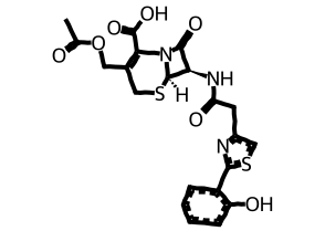 CC(=O)OCC1=C(C(=O)O)N2C(=O)[C@@H](NC(=O)Cc3csc(-c4ccccc4O)n3)[C@H]2SC1